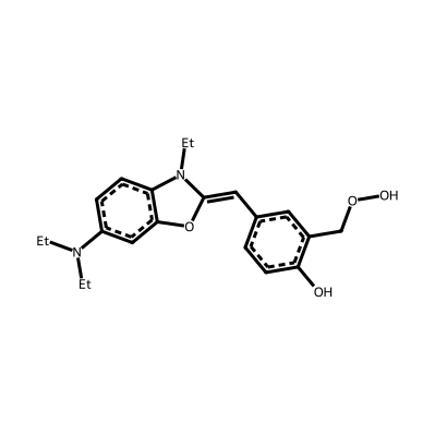 CCN(CC)c1ccc2c(c1)O/C(=C\c1ccc(O)c(COO)c1)N2CC